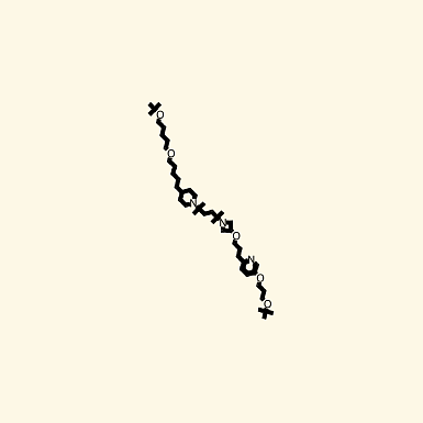 CC(C)(C)OCCCCCOCCCCCC1CCN(C(C)(C)CCC(C)(C)N2CC(OCCCc3ccc(OCCCOC(C)(C)C)cn3)C2)CC1